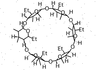 CCC1O[C@@H]2O[C@@H]3C(CC)O[C@@H](O[C@@H]4C(CC)O[C@@H](O[C@@H]5C(CC)O[C@@H](O[C@@H]6C(CC)O[C@@H](O[C@@H]7C(CC)O[C@@H](O[C@H]1[C@H](C)C2C)C(C)[C@H]7C)C(C)[C@H]6C)C(C)[C@H]5C)C(C)[C@H]4C)C(C)[C@H]3C